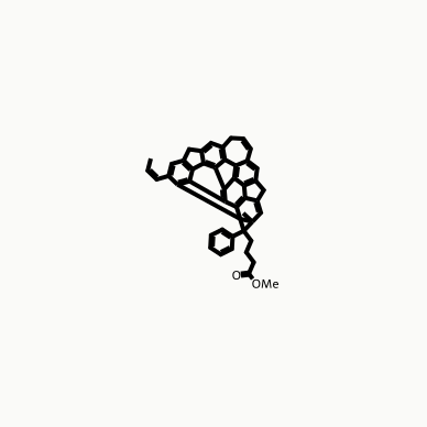 C/C=C\c1cc2c3c4c(cc5c6c4c4c7c-6c(cc6c7c7c8c4c3c1C81C(C)(C=C7C6)C1(CCCC(=O)OC)c1ccccc1)C=CC5)C2